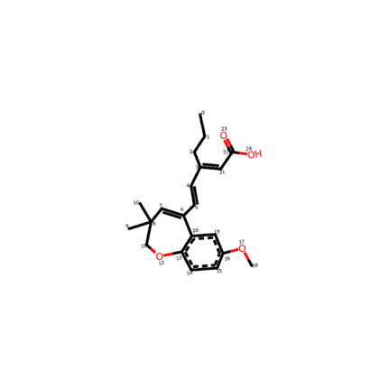 CCCC(C=CC1=CC(C)(C)COc2ccc(OC)cc21)=CC(=O)O